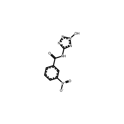 O=C(Nc1nnn(O)n1)c1cccc([N+](=O)[O-])c1